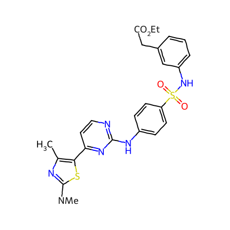 CCOC(=O)Cc1cccc(NS(=O)(=O)c2ccc(Nc3nccc(-c4sc(NC)nc4C)n3)cc2)c1